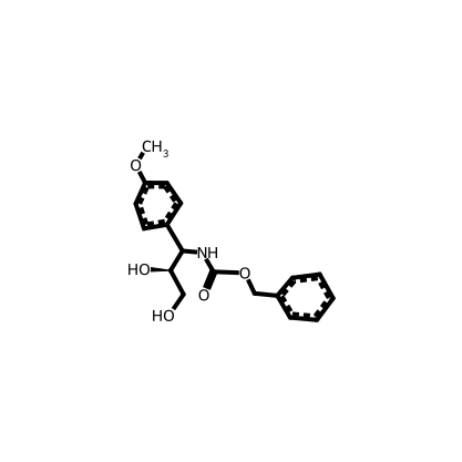 COc1ccc(C(NC(=O)OCc2ccccc2)[C@H](O)CO)cc1